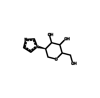 OCC1OC[C@@H](n2ccnc2)C(O)C1O